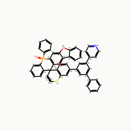 O=P1(c2ccccc2)c2ccccc2C2(c3ccccc3Sc3cc(-c4cc(-c5ccccc5)cc(-c5ccncc5)c4)ccc32)c2cc3c(cc21)oc1ccccc13